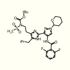 CC(C)Cc1[nH]c(-c2nn(C3CCCCO3)cc2NC(=O)c2c(F)cccc2F)nc1CCN(C(=O)OC(C)(C)C)S(C)(=O)=O